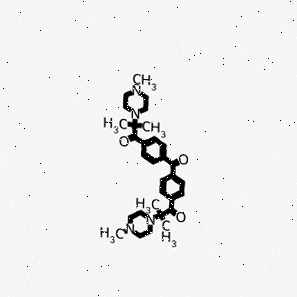 CN1CCN(C(C)(C)C(=O)c2ccc(C(=O)c3ccc(C(=O)C(C)(C)N4CCN(C)CC4)cc3)cc2)CC1